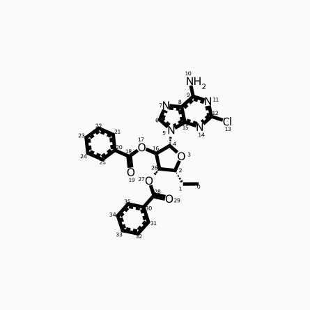 CC[C@H]1O[C@@H](n2cnc3c(N)nc(Cl)nc32)C(OC(=O)c2ccccc2)[C@H]1OC(=O)c1ccccc1